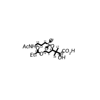 CCC(=O)OCCC(OS(=O)(=O)CCCNC(C)=O)C(C)(C)[C@@H](O)C(=O)O